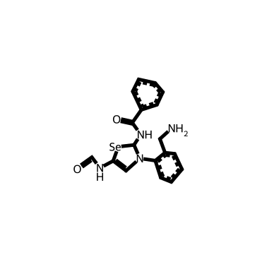 NCc1ccccc1N1C=C(NC=O)[Se]C1NC(=O)c1ccccc1